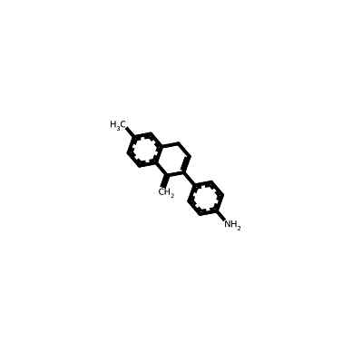 C=C1C(c2ccc(N)cc2)=CCc2cc(C)ccc21